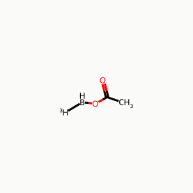 [3H]BOC(C)=O